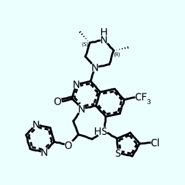 C[C@@H]1CN(c2nc(=O)n3c4c(cc(C(F)(F)F)cc24)[SH](c2cc(Cl)cs2)CC(Oc2cnccn2)C3)C[C@H](C)N1